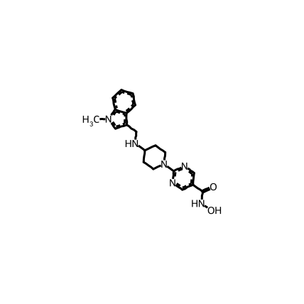 Cn1cc(CNC2CCN(c3ncc(C(=O)NO)cn3)CC2)c2ccccc21